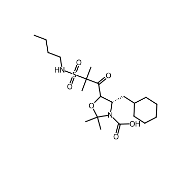 CCCCNS(=O)(=O)C(C)(C)C(=O)C1OC(C)(C)N(C(=O)O)[C@H]1CC1CCCCC1